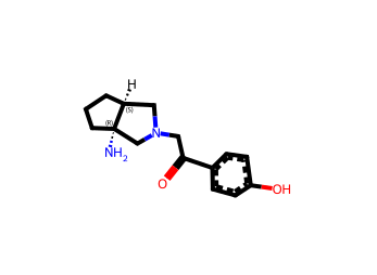 N[C@]12CCC[C@H]1CN(CC(=O)c1ccc(O)cc1)C2